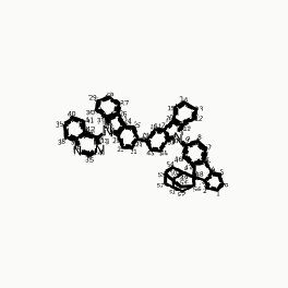 c1ccc2c(c1)-c1ccc(-n3c4ccccc4c4cc(-c5ccc6c(c5)c5ccccc5n6-c5ncnc6ccccc56)ccc43)cc1C21C2CC3CC(C2)CC1C3